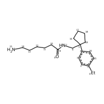 CCc1ccc(C2(CNC(=O)CCCCCN)CCCC2)cc1